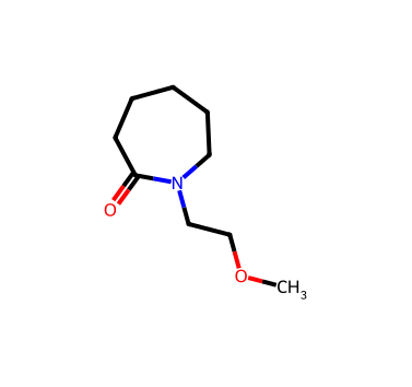 COCCN1CCCCCC1=O